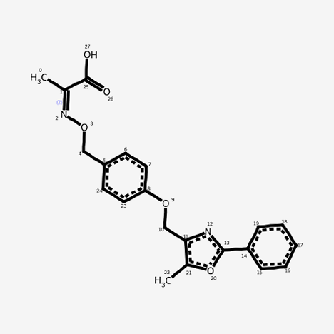 C/C(=N/OCc1ccc(OCc2nc(-c3ccccc3)oc2C)cc1)C(=O)O